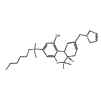 CCCCCCC(C)(C)c1cc(O)c2c(c1)OC(C)(C)[C@H]1CC=C(CN3CC=CC3)CC21